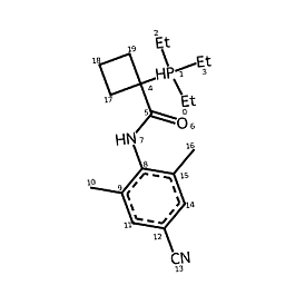 CC[PH](CC)(CC)C1(C(=O)Nc2c(C)cc(C#N)cc2C)CCC1